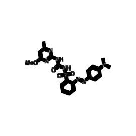 COc1cc(C)nc(NC(=O)NS(=O)(=O)c2ccccc2N=Nc2ccc(N(C)C)cc2)n1